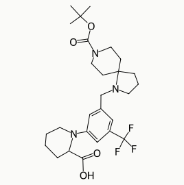 CC(C)(C)OC(=O)N1CCC2(CCCN2Cc2cc(N3CCCCC3C(=O)O)cc(C(F)(F)F)c2)CC1